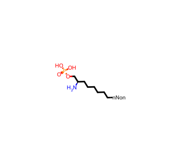 CCCCCCCCCCCCCCC[C@@H](N)COP(=O)(O)O